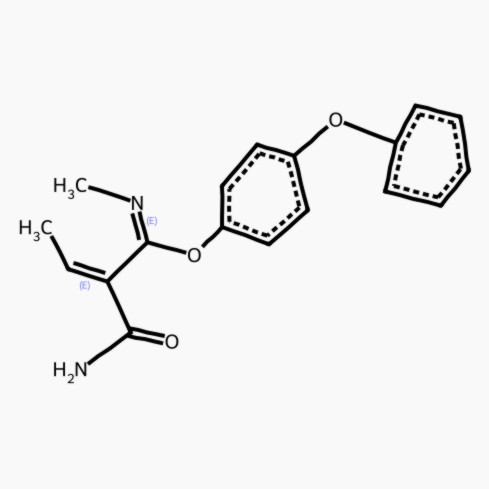 C/C=C(C(N)=O)\C(=N/C)Oc1ccc(Oc2ccccc2)cc1